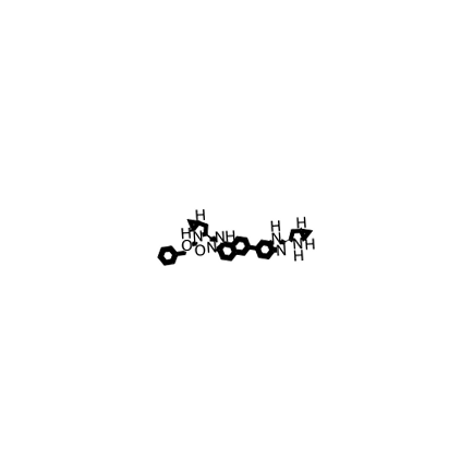 O=C(OCc1ccccc1)N1[C@@H]2C[C@@H]2C[C@H]1c1nc2ccc3cc(-c4ccc5nc([C@@H]6C[C@H]7C[C@H]7N6)[nH]c5c4)ccc3c2[nH]1